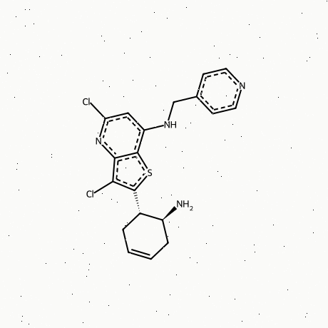 N[C@H]1CC=CC[C@@H]1c1sc2c(NCc3ccncc3)cc(Cl)nc2c1Cl